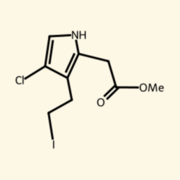 COC(=O)Cc1[nH]cc(Cl)c1CCI